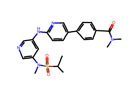 CC(C)S(=O)(=O)N(C)c1cncc(Nc2ccc(-c3ccc(C(=O)N(C)C)cc3)cn2)c1